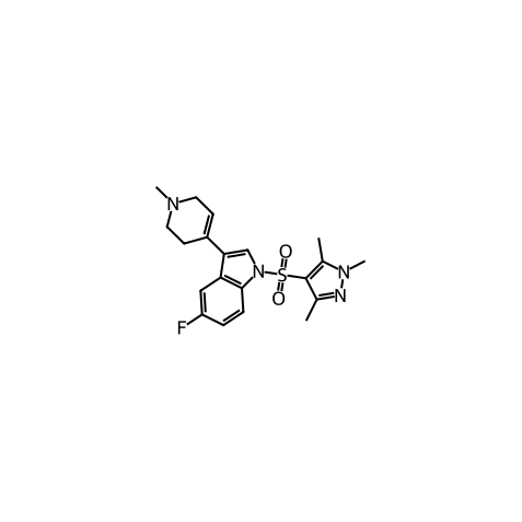 Cc1nn(C)c(C)c1S(=O)(=O)n1cc(C2=CCN(C)CC2)c2cc(F)ccc21